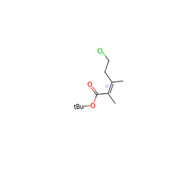 C/C(CCCl)=C(\C)C(=O)OC(C)(C)C